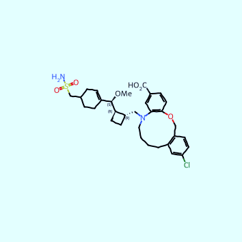 CO[C@H](C1=CCC(CS(N)(=O)=O)CC1)[C@@H]1CC[C@H]1CN1CCCCc2cc(Cl)ccc2COc2ccc(C(=O)O)cc21